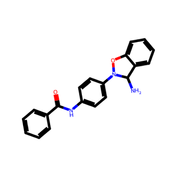 NC1c2ccccc2ON1c1ccc(NC(=O)c2ccccc2)cc1